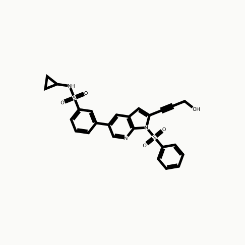 O=S(=O)(NC1CC1)c1cccc(-c2cnc3c(c2)cc(C#CCO)n3S(=O)(=O)c2ccccc2)c1